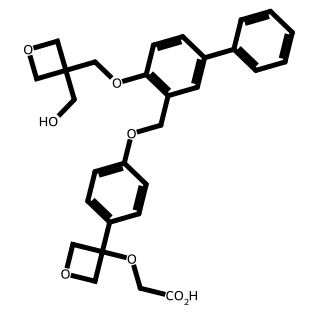 O=C(O)COC1(c2ccc(OCc3cc(-c4ccccc4)ccc3OCC3(CO)COC3)cc2)COC1